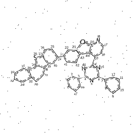 c1ccc(-c2nc(-c3ccccc3)nc(-c3ccnc4oc5cc(-c6ccc7sc8c9ccccc9ccc8c7c6)ccc5c34)n2)cc1